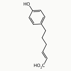 O=C(O)C=CCCCc1ccc(O)cc1